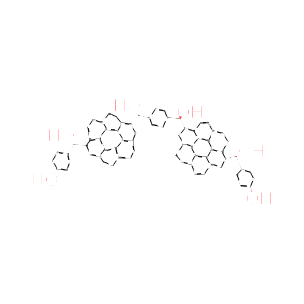 Oc1ccc(C(O)c2cc3ccc4ccc5cc(C(O)c6ccc(C(O)c7cc8ccc9ccc%10cc(C(O)c%11ccc(O)cc%11)c%11ccc%12ccc7c7c8c9c%10c%11c%127)cc6)c6ccc7ccc2c2c3c4c5c6c72)cc1